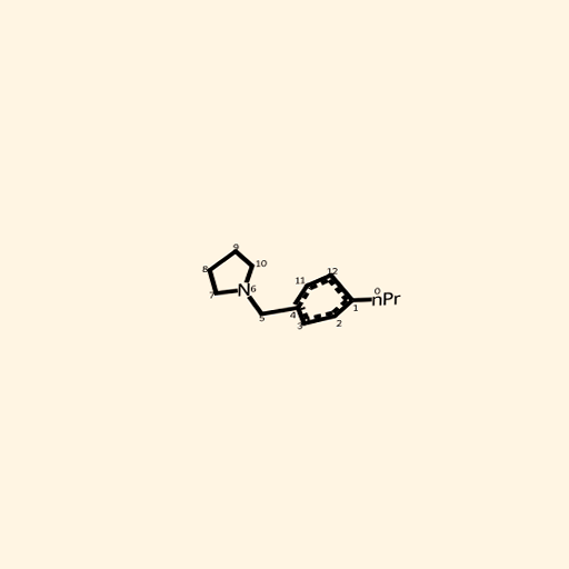 CCCc1ccc(CN2CCCC2)cc1